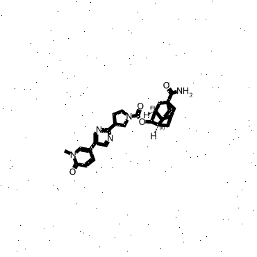 Cn1cc(-c2cnc(C3CCN(C(=O)OC4[C@@H]5CC6C[C@@H]4CC(C(N)=O)(C6)C5)C3)nc2)ccc1=O